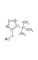 CC(C)(C)c1ocnc1CBr